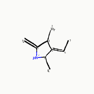 C=C1NC(C)/C(=C/C)C1C(C)C